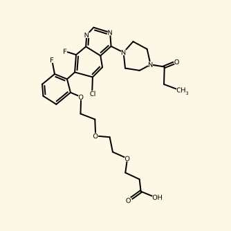 CCC(=O)N1CCN(c2ncnc3c(F)c(-c4c(F)cccc4OCCOCCOCCC(=O)O)c(Cl)cc23)CC1